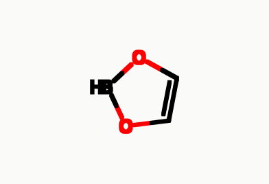 B1OC=CO1